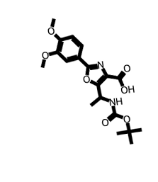 COc1ccc(-c2nc(C(=O)O)c(C(C)NC(=O)OC(C)(C)C)o2)cc1OC